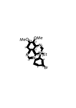 CC[N+]1(c2cccc(Br)c2)C=Nc2c(OC)c(OC)cc3ncnc1c23